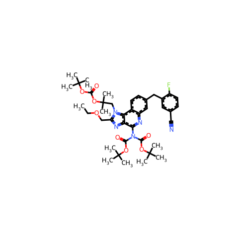 CCOCc1nc2c(N(C(=O)OC(C)(C)C)C(=O)OC(C)(C)C)nc3cc(Cc4cc(C#N)ccc4F)ccc3c2n1CC(C)(C)OC(=O)OC(C)(C)C